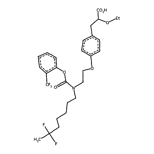 CCOC(Cc1ccc(OCCN(CCCCCC(C)(F)F)C(=O)Oc2ccccc2C(F)(F)F)cc1)C(=O)O